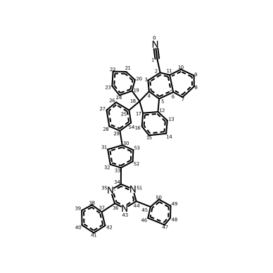 N#Cc1cc2c(c3ccccc13)-c1ccccc1C2(c1ccccc1)c1cccc(-c2ccc(-c3nc(-c4ccccc4)nc(-c4ccccc4)n3)cc2)c1